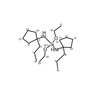 CCCC1(N[Si](NC2(CCC)CCCC2)(OCC)OCC)CCCC1